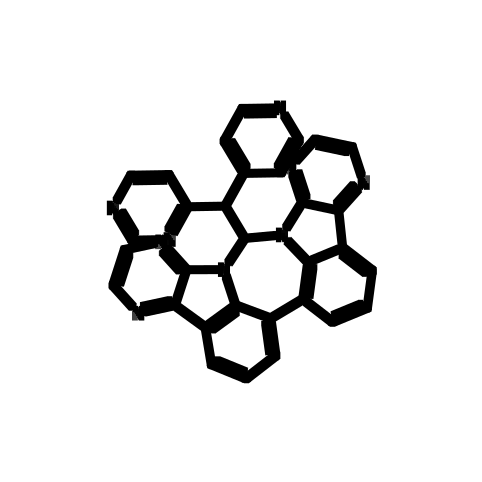 c1cc2c3c(c1)c1nccnc1n3C(C(c1ccncc1)c1ccncn1)n1c3nccnc3c3cccc-2c31